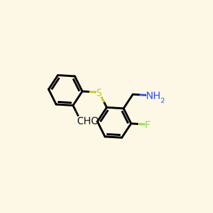 NCc1c(F)cccc1Sc1ccccc1C=O